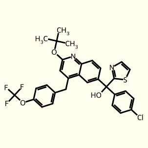 CC(C)(C)Oc1cc(Cc2ccc(OC(F)(F)F)cc2)c2cc(C(O)(c3ccc(Cl)cc3)c3nccs3)ccc2n1